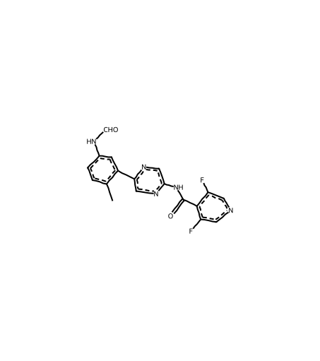 Cc1ccc(NC=O)cc1-c1cnc(NC(=O)c2c(F)cncc2F)cn1